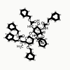 C[C@@H]([C@H]1O[C@H](O[C@@H]2[C@@H](NC(=O)OCc3ccccc3)[C@H](O)[C@@H](NC(=O)OCc3ccccc3)[C@@H]3OC4(CCCCC4)O[C@@H]23)[C@H](N=[N+]=[N-])C[C@@H]1OCc1ccccc1)N(Cc1ccccc1)C(=O)OCc1ccccc1